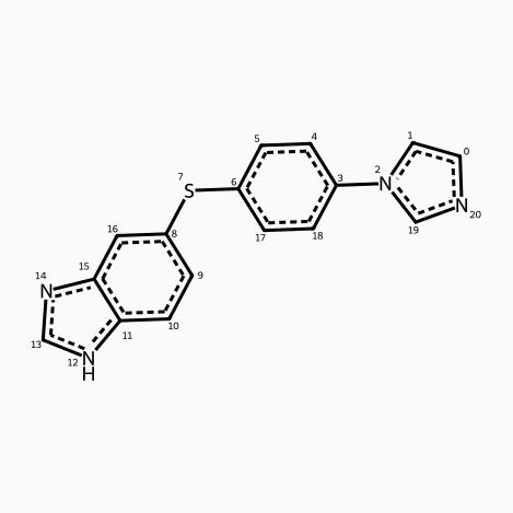 c1cn(-c2ccc(Sc3ccc4[nH]cnc4c3)cc2)cn1